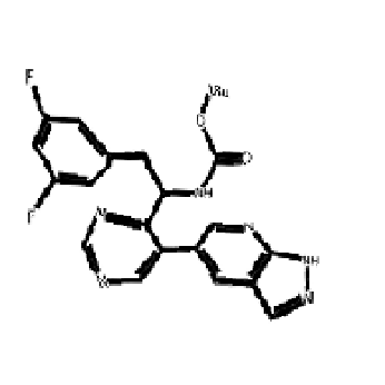 CC(C)(C)OC(=O)NC(Cc1cc(F)cc(F)c1)c1ncncc1-c1cnc2[nH]ncc2c1